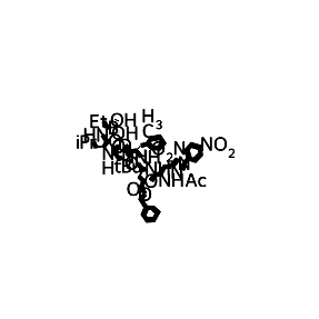 CCC(NC(=O)[C@H](CC(C)C)NC(=O)[C@@H](NC(=O)[C@H](Cc1ccccc1C)NC(=O)[C@H](CCC(=O)OCc1ccccc1)NC(=O)[C@H](Cc1cn(-c2ccc([N+](=O)[O-])cc2[N+](=O)[O-])cn1)NC(C)=O)C(C)(C)C)B(O)O